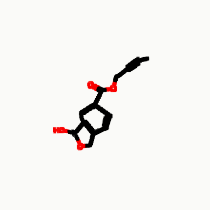 CC#CCOC(=O)c1ccc2c(c1)B(O)OC2